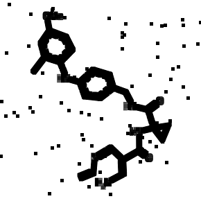 C=C/N=C\C(=C/N)C(=O)NC1(C(=O)NCc2ccc(Nc3ccc(OC)cc3C)cc2)CC1